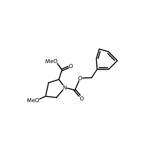 COC(=O)C1CC(OC)CN1C(=O)OCc1ccccc1